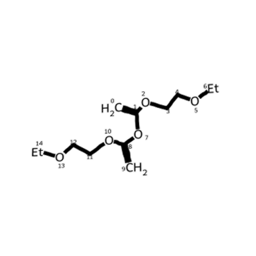 C=C(OCCOCC)OC(=C)OCCOCC